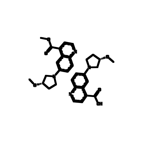 COC(=O)c1ccnc2ccc(N3CC[C@H](OC)C3)cc12.CO[C@H]1CCN(c2ccc3nccc(C(=O)O)c3c2)C1